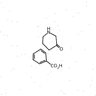 O=C(O)c1ccccc1.O=C1CCCNC1